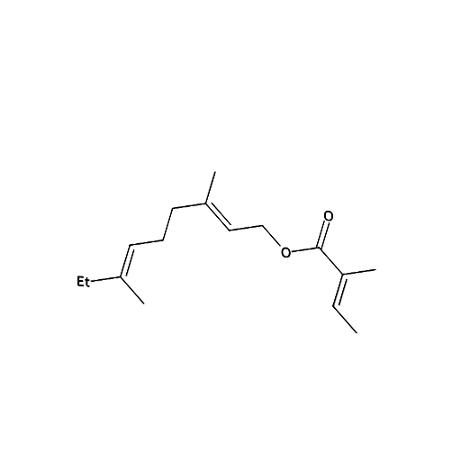 CC=C(C)C(=O)OCC=C(C)CCC=C(C)CC